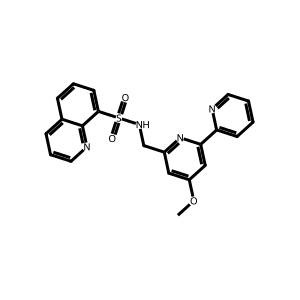 COc1cc(CNS(=O)(=O)c2cccc3cccnc23)nc(-c2ccccn2)c1